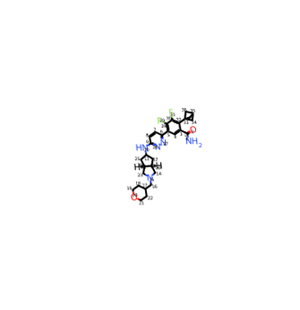 NC(=O)c1cc(-c2ccc(NC3C[C@@H]4CN(CC5CCOCC5)C[C@@H]4C3)nn2)c(F)c(F)c1C12CC(C1)C2